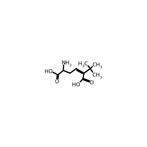 CC(C)(C)C(=CCC(N)C(=O)O)C(=O)O